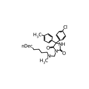 CCCCCCCCCCCCCCN(C)CN1C(=O)NC(c2ccc(C)cc2)(c2ccc(Cl)cc2)C1=O